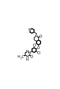 C=C1C=NN(c2cc(Cl)c(Oc3ccc4c(c3)CCN(Cc3ccncc3)C4=O)c(Cl)c2)C(=O)N1